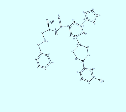 O=C(N[C@@H](CSCc1ccccc1)C(=O)O)c1cc(N2CCN(c3nccc(C(F)(F)F)n3)CC2)nc(-c2ccoc2)n1